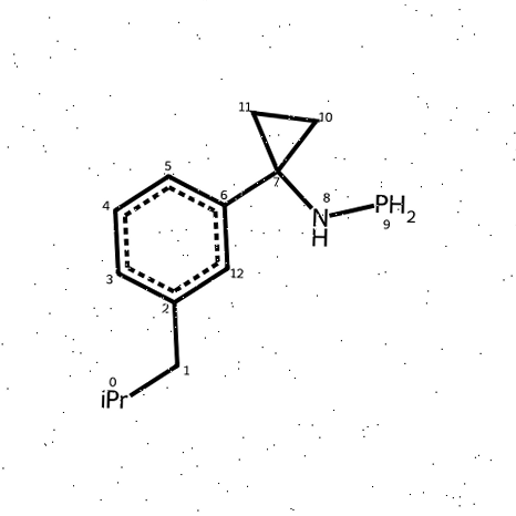 CC(C)Cc1cccc(C2(NP)CC2)c1